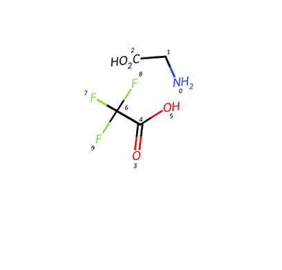 NCC(=O)O.O=C(O)C(F)(F)F